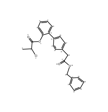 CC(Cl)C(=O)Oc1ccccc1-c1ccc(CC(=O)OCc2ccccc2)cc1